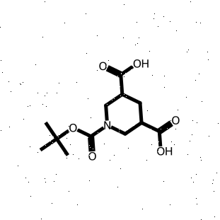 CC(C)(C)OC(=O)N1CC(C(=O)O)CC(C(=O)O)C1